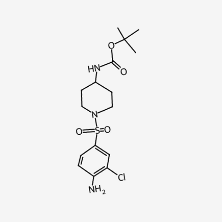 CC(C)(C)OC(=O)NC1CCN(S(=O)(=O)c2ccc(N)c(Cl)c2)CC1